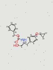 O=C(N[C@H](CO)Cc1ccc(OC2CC2)cc1)OCc1ccccc1